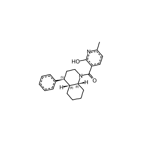 Cc1ccc(C(=O)N2CC[C@H](c3ccccc3)[C@H]3CCCC[C@H]32)c(O)n1